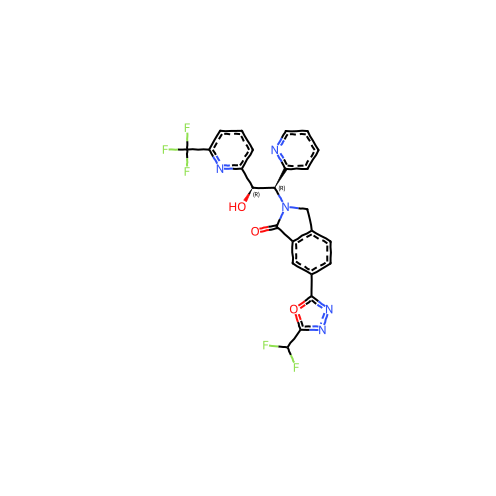 O=C1c2cc(-c3nnc(C(F)F)o3)ccc2CN1[C@H](c1ccccn1)[C@@H](O)c1cccc(C(F)(F)F)n1